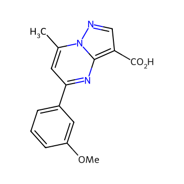 COc1cccc(-c2cc(C)n3ncc(C(=O)O)c3n2)c1